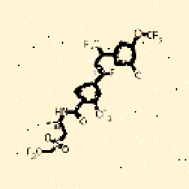 C[C@H](CS(=O)(=O)CC(F)(F)F)NC(=O)c1ccc(/C(F)=C/C(c2cc(Cl)cc(OC(F)(F)F)c2)C(F)(F)F)cc1C(F)(F)F